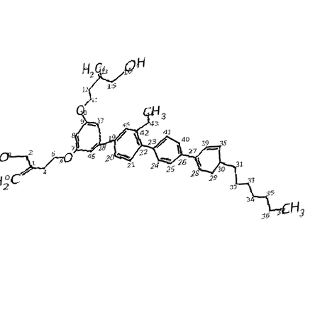 C=C(CO)CCOc1cc(OCCC(=C)CO)cc(-c2ccc(-c3ccc(C4=CCC(CCCCCCC)C=C4)cc3)c(CC)c2)c1